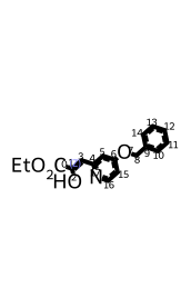 CCOC(=O)/C(O)=C/c1cc(OCc2ccccc2)ccn1